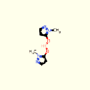 Cn1nccc1OBOc1ccnn1C